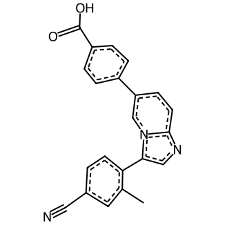 Cc1cc(C#N)ccc1-c1cnc2ccc(-c3ccc(C(=O)O)cc3)cn12